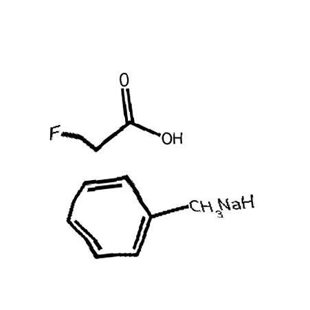 Cc1ccccc1.O=C(O)CF.[NaH]